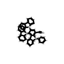 N#Cc1cc(-n2c3ccccc3c3ccccc32)c(-n2c3ccccc3c3ccccc32)c2c3ccccc3n(-c3ccccc3)c12